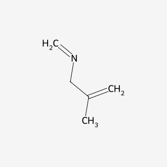 C=NCC(=C)C